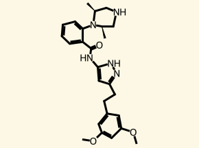 COc1cc(CCc2cc(NC(=O)c3ccccc3N3[C@H](C)CNC[C@@H]3C)[nH]n2)cc(OC)c1